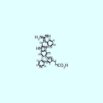 Cc1c(-n2nc(CCC(=O)O)cc2-c2cccnc2)ccc2[nH]c(CN(C(=N)N)c3ccccc3)nc12